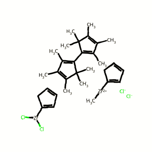 CC1=C(C)C(C)(C)C(C2=C(C)C(C)=C(C)C2(C)C)=C1C.[CH3][Zr+2][C]1=CC=CC1.[Cl-].[Cl-].[Cl][Zr]([Cl])[C]1=CC=CC1